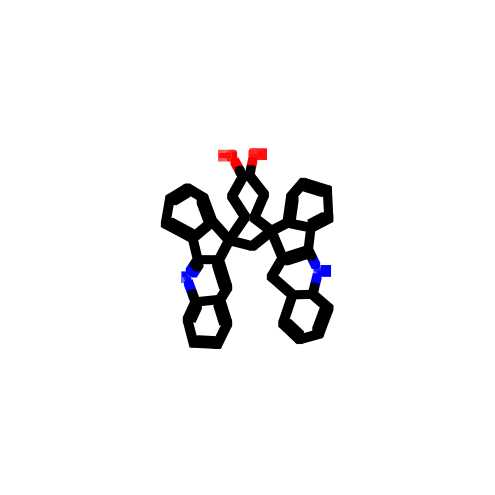 OCCCC1(CC2(CCCO)c3ccccc3-c3nc4ccccc4cc32)C2=C(NC3C=CC=CC3C2)c2ccccc21